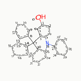 Oc1ccc2c(c1)C(c1ccccc1)(c1ccccc1)c1ccccc1N2c1ccccc1